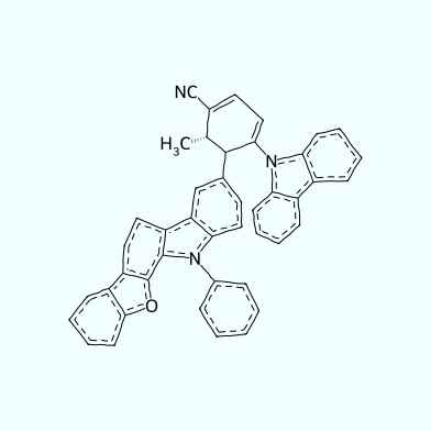 C[C@@H]1C(C#N)=CC=C(n2c3ccccc3c3ccccc32)C1c1ccc2c(c1)c1ccc3c4ccccc4oc3c1n2-c1ccccc1